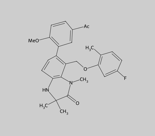 COc1ccc(C(C)=O)cc1-c1ccc2c(c1COc1cc(F)ccc1C)N(C)C(=O)C(C)(C)N2